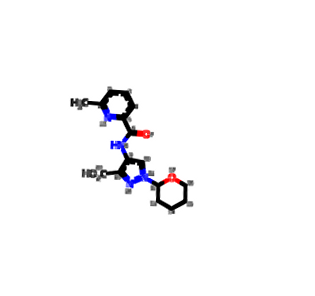 Cc1cccc(C(=O)Nc2cn(C3CCCCO3)nc2C(=O)O)n1